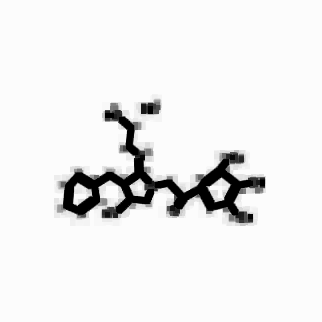 Br.CCCC1CN(CC(=O)c2cc(C(C)(C)C)c(O)c(C(C)(C)C)c2)C(=NCCO)C1Cc1ccccc1